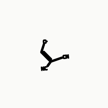 N#CC(C#N)=C[O]